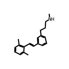 CNCCCc1cccc(C=Cc2c(C)cccc2C)c1